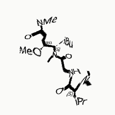 CCC(C)[C@@H]([C@@H](CC(=O)NC)OC)N(C)C(=O)CNC(=O)[C@H](C(C)C)N(C)C